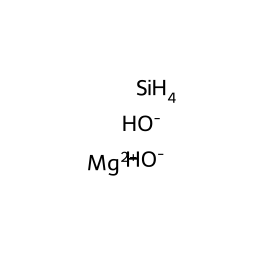 [Mg+2].[OH-].[OH-].[SiH4]